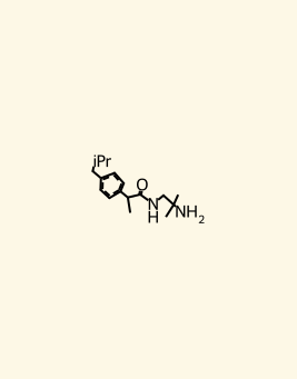 CC(C)Cc1ccc(C(C)C(=O)NCC(C)(C)N)cc1